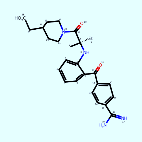 CC[C@@](C)(Nc1ccccc1C(=O)c1ccc(C(=N)N)cc1)C(=O)N1CCC(CC(=O)O)CC1